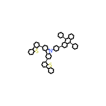 c1ccc(-c2c3ccccc3c(-c3ccccc3)c3cc(-c4ccc(-n5c6ccc(-c7cccc8c7sc7ccccc78)cc6c6cc(-c7cccc8c7sc7ccccc78)ccc65)cc4)ccc23)cc1